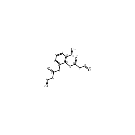 O=CCC(=O)Cc1cccc(C=O)c1CC(=O)CC=O